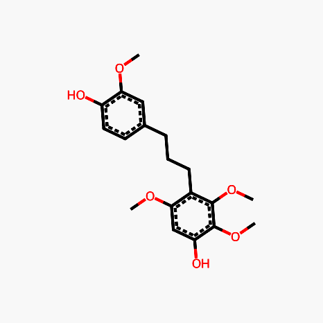 COc1cc(CCCc2c(OC)cc(O)c(OC)c2OC)ccc1O